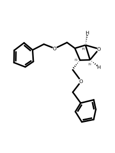 c1ccc(COCC2[C@@H](COCc3ccccc3)[C@@H]3O[C@H]23)cc1